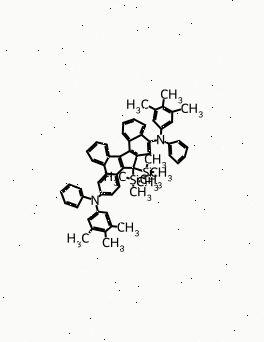 Cc1cc(N(c2ccccc2)c2ccc3c4c(c5ccccc5c3c2)-c2c(cc(N(c3ccccc3)c3cc(C)c(C)c(C)c3)c3ccccc23)C4([Si](C)(C)C)[Si](C)(C)C)cc(C)c1C